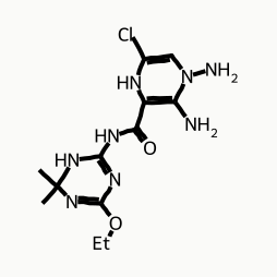 CCOC1=NC(C)(C)NC(NC(=O)C2=C(N)N(N)C=C(Cl)N2)=N1